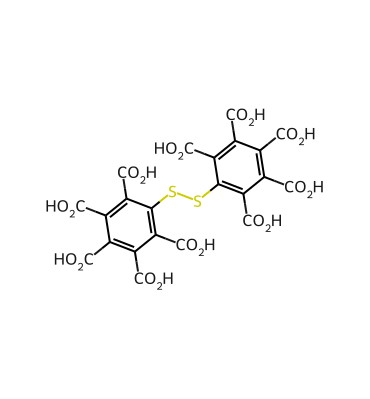 O=C(O)c1c(SSc2c(C(=O)O)c(C(=O)O)c(C(=O)O)c(C(=O)O)c2C(=O)O)c(C(=O)O)c(C(=O)O)c(C(=O)O)c1C(=O)O